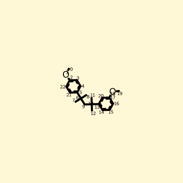 COc1ccc(C(C)(C)CC(C)(C)c2cccc(OC)c2)cc1